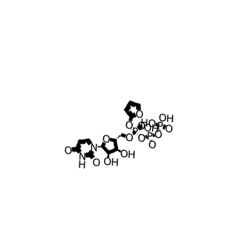 O=c1ccn([C@@H]2O[C@H](COP(=O)(Oc3ccco3)OP(=O)(O)OP(=O)(O)O)[C@@H](O)[C@H]2O)c(=O)[nH]1